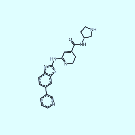 O=C(N[C@H]1CCNC1)C1=CC(Nc2nc3ccc(-c4cccnc4)cc3s2)=NCC1